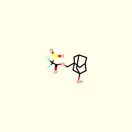 O=C(OCC12CC3CC(CC(O)(C3)C1)C2)C(F)(F)[SH](=O)=O